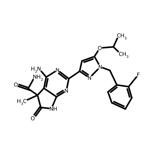 CC(C)Oc1cc(-c2nc(N)c3c(n2)NC(=O)C3(C)C(N)=O)nn1Cc1ccccc1F